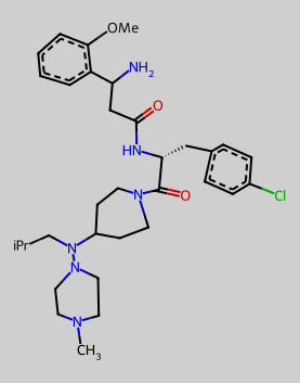 COc1ccccc1C(N)CC(=O)N[C@H](Cc1ccc(Cl)cc1)C(=O)N1CCC(N(CC(C)C)N2CCN(C)CC2)CC1